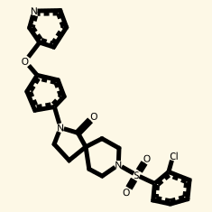 O=C1N(c2ccc(Oc3cccnc3)cc2)CCC12CCN(S(=O)(=O)c1ccccc1Cl)CC2